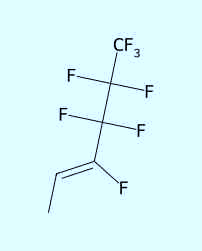 CC=C(F)C(F)(F)C(F)(F)C(F)(F)F